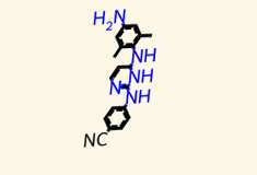 Cc1cc(N)cc(C)c1NC1C=CN=C(Nc2ccc(C#N)cc2)N1